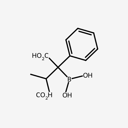 CC(C(=O)O)C(B(O)O)(C(=O)O)c1ccccc1